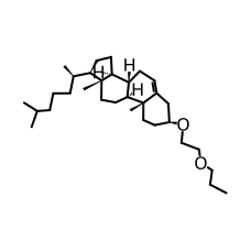 CCCOCCO[C@H]1CC[C@@]2(C)C(=CC[C@H]3[C@@H]4CC[C@H]([C@H](C)CCCC(C)C)[C@@]4(C)CC[C@@H]32)C1